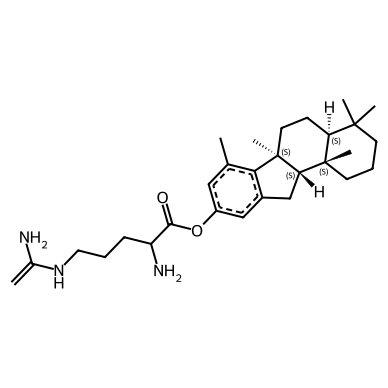 C=C(N)NCCCC(N)C(=O)Oc1cc(C)c2c(c1)C[C@H]1[C@@]3(C)CCCC(C)(C)[C@@H]3CC[C@]21C